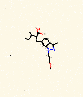 CCC(C)C(Cc1ccc2c(C)nn(CCCOC)c2c1)C(=O)O